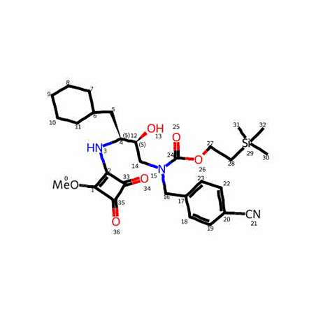 COc1c(N[C@@H](CC2CCCCC2)[C@@H](O)CN(Cc2ccc(C#N)cc2)C(=O)OCC[Si](C)(C)C)c(=O)c1=O